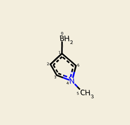 Bc1ccn(C)c1